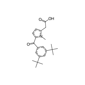 Cn1c(CC(=O)O)ccc1C(=O)c1cc(C(C)(C)C)cc(C(C)(C)C)c1